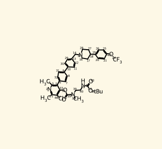 Cc1nc(C)c(-c2ccc(-c3ccc(CN4CCC(c5ccc(OC(F)(F)F)cc5)CC4)cc3)cc2)c(OC(=O)N(C)CCNC(=O)OC(C)(C)C)c1Cl